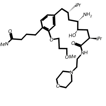 CNC(=O)CCCc1ccc(C[C@@H](C[C@H](N)[C@@H](O)C[C@H](C(=O)NCCN2CCOCC2)C(C)C)C(C)C)cc1OCCCOC